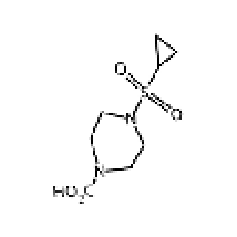 O=C(O)N1CCN(S(=O)(=O)C2CC2)CC1